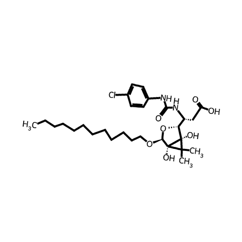 CCCCCCCCCCCCO[C@H]1O[C@H]([C@@H](CC(=O)O)NC(=O)Nc2ccc(Cl)cc2)[C@@]2(O)C(C)(C)[C@@]12O